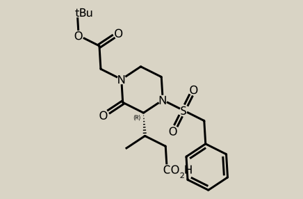 CC(CC(=O)O)[C@@H]1C(=O)N(CC(=O)OC(C)(C)C)CCN1S(=O)(=O)Cc1ccccc1